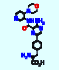 Nc1ncc(-c2ccc(C[C@H](N)C(=O)O)cc2)nc1C(=O)Nc1cnccc1N1CCOCC1